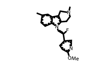 COc1ccc(/C(F)=C/n2c3c(c4cc(C)ccc42)CN(C)CC3)cn1